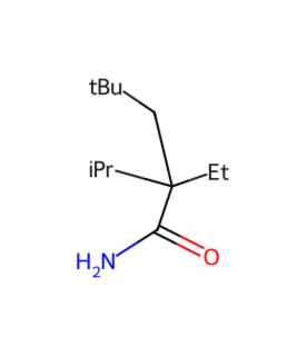 CCC(CC(C)(C)C)(C(N)=O)C(C)C